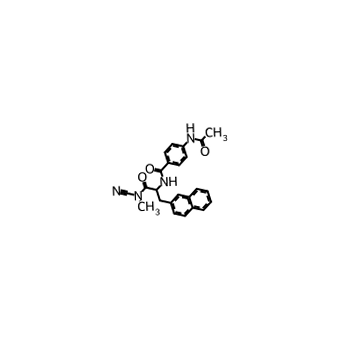 CC(=O)Nc1ccc(C(=O)NC(Cc2ccc3ccccc3c2)C(=O)N(C)C#N)cc1